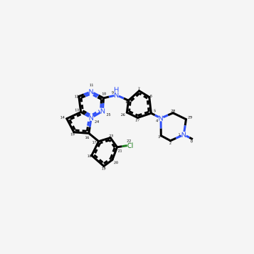 CN1CCN(c2ccc(Nc3ncc4ccc(-c5cccc(Cl)c5)n4n3)cc2)CC1